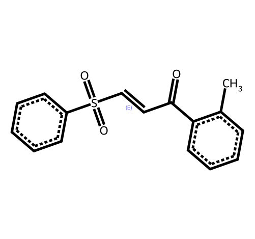 Cc1ccccc1C(=O)/C=C/S(=O)(=O)c1ccccc1